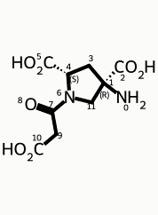 N[C@]1(C(=O)O)C[C@@H](C(=O)O)N(C(=O)CC(=O)O)C1